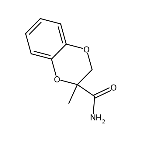 CC1(C(N)=O)COc2ccccc2O1